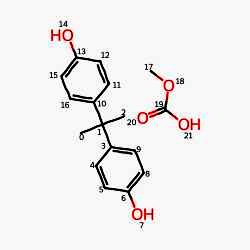 CC(C)(c1ccc(O)cc1)c1ccc(O)cc1.COC(=O)O